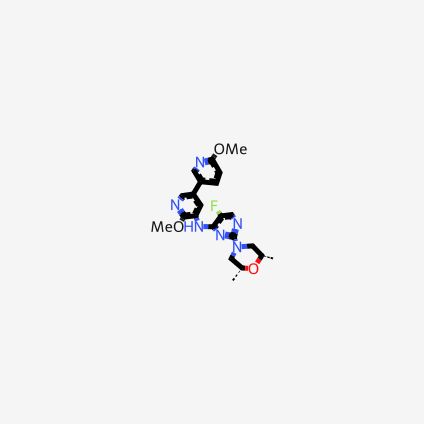 COc1ccc(-c2cnc(OC)c(Nc3nc(N4C[C@@H](C)O[C@@H](C)C4)ncc3F)c2)cn1